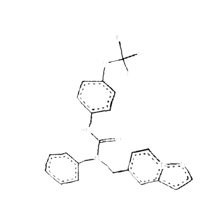 O=C(Nc1ccc(OC(F)(F)F)cc1)N(Cc1ccn2nccc2c1)c1ccccc1